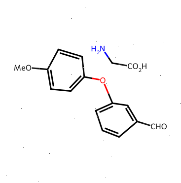 COc1ccc(Oc2cccc(C=O)c2)cc1.NCC(=O)O